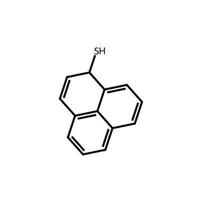 SC1C=Cc2cccc3cccc1c23